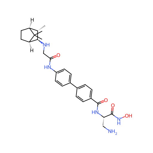 C[C@@H]1[C@@H](NCC(=O)Nc2ccc(-c3ccc(C(=O)N[C@@H](CN)C(=O)NO)cc3)cc2)[C@H]2CC[C@@H]1C2(C)C